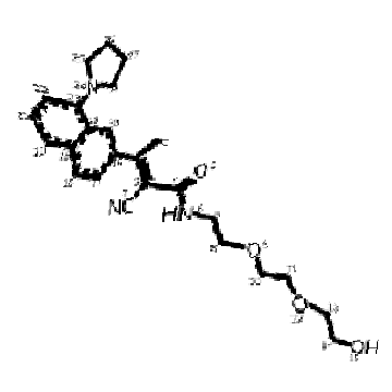 C/C(=C(/C#N)C(=O)NCCOCCOCCO)c1ccc2cccc(N3CCCC3)c2c1